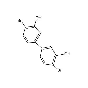 Oc1cc(-c2ccc(Br)c(O)c2)ccc1Br